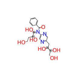 O=C(c1ccccc1)N(c1cnc(C[C@H](O)[C@H](O)CO)cn1)[C@H](O)[C@H](O)CCO